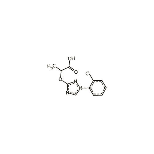 CC(Oc1ncn(-c2ccccc2Cl)n1)C(=O)O